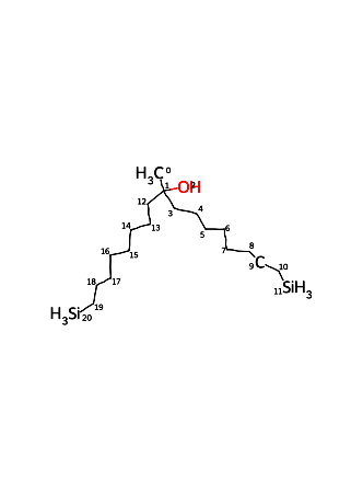 CC(O)(CCCCCCCC[SiH3])CCCCCCCC[SiH3]